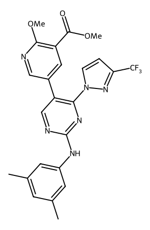 COC(=O)c1cc(-c2cnc(Nc3cc(C)cc(C)c3)nc2-n2ccc(C(F)(F)F)n2)cnc1OC